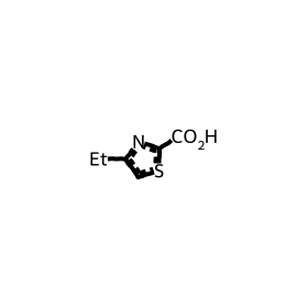 CCc1csc(C(=O)O)n1